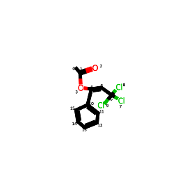 CC(=O)OC(=CC(Cl)(Cl)Cl)c1ccccc1